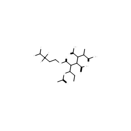 CCC(OC(C)=O)C(C(=O)OCCC(F)(F)C(F)F)C(C(=O)O)C(C(=O)O)C(C)C(=O)O